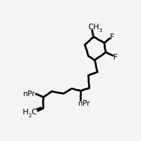 C=CC(CCC)CCCC(CCC)CCCC1CCC(C)C(F)C1F